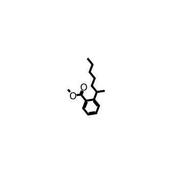 CCCCCC(C)c1ccccc1C(=O)OC